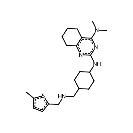 Cc1ccc(CNCC2CCC(Nc3nc4c(c(N(C)C)n3)CCCC4)CC2)s1